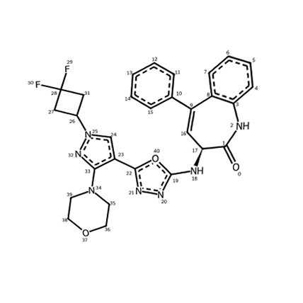 O=C1Nc2ccccc2C(c2ccccc2)=C[C@@H]1Nc1nnc(-c2cn(C3CC(F)(F)C3)nc2N2CCOCC2)o1